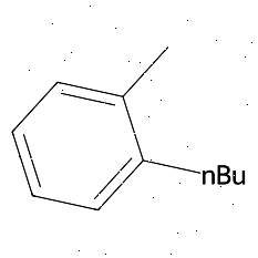 CCCCc1ccccc1C